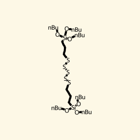 CCCCO[Si](CCCSSSSSCCC[Si](OCCCC)(OCCCC)OCCCC)(OCCCC)OCCCC